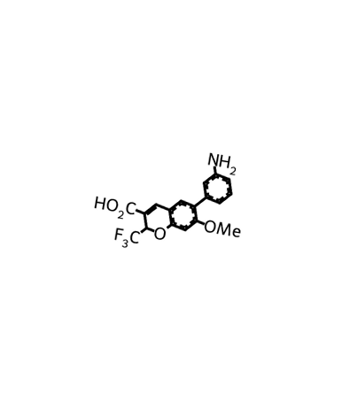 COc1cc2c(cc1-c1cccc(N)c1)C=C(C(=O)O)C(C(F)(F)F)O2